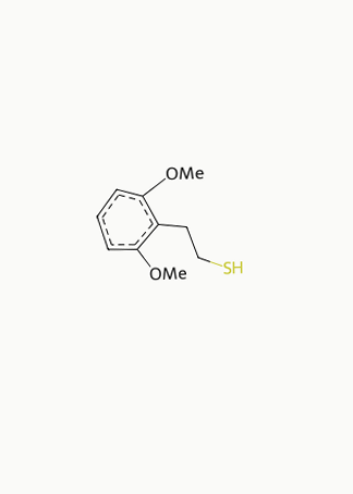 COc1cccc(OC)c1CCS